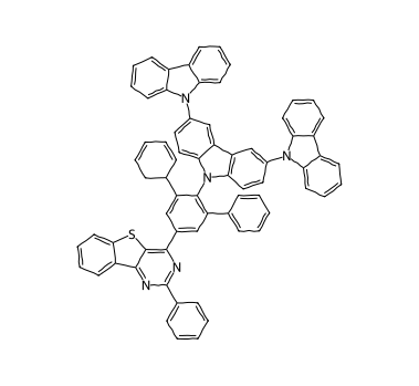 C1=CCC(c2cc(-c3nc(-c4ccccc4)nc4c3sc3ccccc34)cc(-c3ccccc3)c2-n2c3ccc(-n4c5ccccc5c5ccccc54)cc3c3cc(-n4c5ccccc5c5ccccc54)ccc32)C=C1